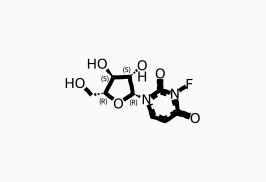 O=c1ccn([C@@H]2O[C@H](CO)[C@@H](O)[C@@H]2O)c(=O)n1F